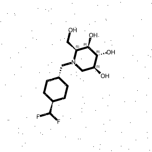 OC[C@H]1[C@@H](O)[C@H](O)[C@@H](O)CN1C[C@H]1CC[C@H](C(F)F)CC1